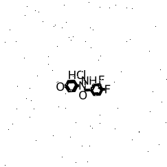 COc1ccc(N(N)C(=O)c2ccc(F)c(F)c2)cc1.Cl